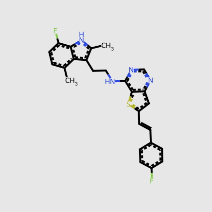 Cc1[nH]c2c(F)ccc(C)c2c1CCNc1ncnc2cc(/C=C/c3ccc(F)cc3)sc12